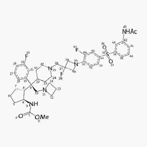 COC(=O)N[C@H]1CCC[C@@H]1[C@](CN1CCC1)(c1cccc(F)c1)C1CCN(CC2(F)CN(c3ccc(S(=O)(=O)c4cccc(NC(C)=O)c4)cc3F)C2)CC1